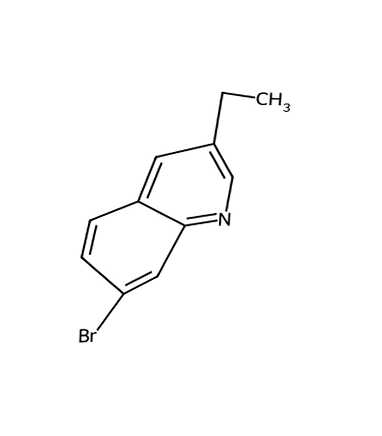 CCc1cnc2cc(Br)ccc2c1